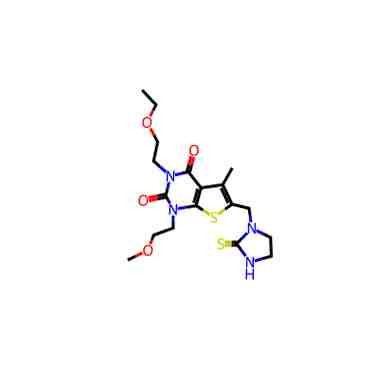 CCOCCn1c(=O)c2c(C)c(CN3CCNC3=S)sc2n(CCOC)c1=O